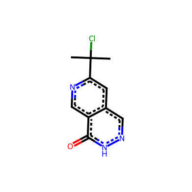 CC(C)(Cl)c1cc2cn[nH]c(=O)c2cn1